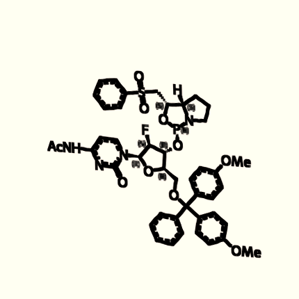 COc1ccc(C(OC[C@H]2O[C@@H](n3ccc(NC(C)=O)nc3=O)[C@@H](F)[C@@H]2O[P@@]2O[C@H](CS(=O)(=O)c3ccccc3)[C@@H]3CCCN32)(c2ccccc2)c2ccc(OC)cc2)cc1